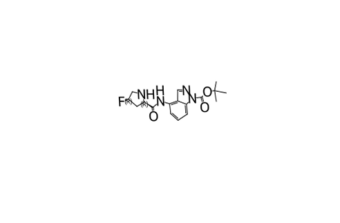 CC(C)(C)OC(=O)n1ncc2c(NC(=O)[C@H]3C[C@@H](F)CN3)cccc21